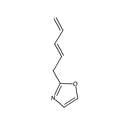 [CH]=CC=CCc1ncco1